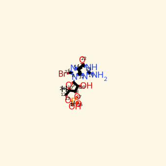 Nc1nc2c(nc(Br)n2[C@@H]2O[C@@H]3COP(=O)(O)OC3C2O)c(=O)[nH]1